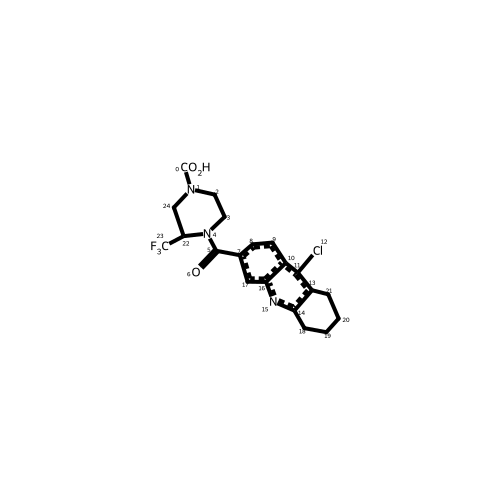 O=C(O)N1CCN(C(=O)c2ccc3c(Cl)c4c(nc3c2)CCCC4)C(C(F)(F)F)C1